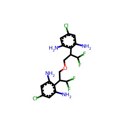 Nc1cc(Cl)cc(N)c1C(COCC(c1c(N)cc(Cl)cc1N)C(F)F)C(F)F